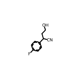 N#CC(CCO)c1ccc(F)cc1